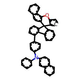 c1ccc(N(c2ccc(-c3cccc4c3-c3ccccc3C43c4ccccc4Oc4c3ccc3ccccc43)cc2)c2ccc3ccccc3c2)cc1